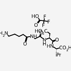 CC(C)[C@H](NC(=O)[C@H](CC(=O)O)NC(=O)CNC(=O)CCCCN)C(=O)O.O=C(O)C(F)(F)F